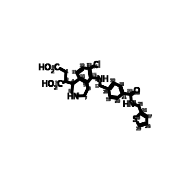 O=C(O)CC(C(=O)O)C1CNCCc2c1ccc(Cl)c2NCc1ccc(C(=O)NCc2cccs2)cc1